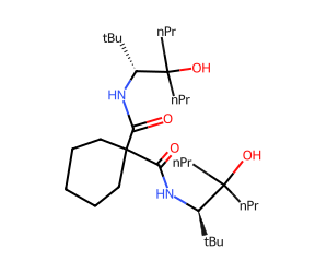 CCCC(O)(CCC)[C@H](NC(=O)C1(C(=O)N[C@H](C(C)(C)C)C(O)(CCC)CCC)CCCCC1)C(C)(C)C